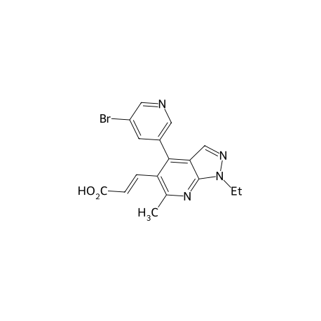 CCn1ncc2c(-c3cncc(Br)c3)c(/C=C/C(=O)O)c(C)nc21